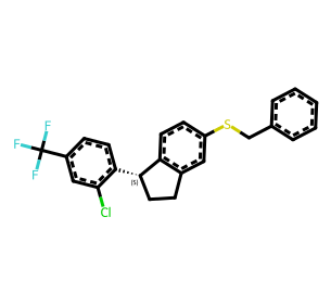 FC(F)(F)c1ccc([C@H]2CCc3cc(SCc4ccccc4)ccc32)c(Cl)c1